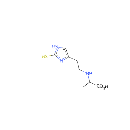 CC(NCCc1c[nH]c(S)n1)C(=O)O